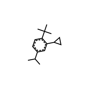 C[C](C)c1ccc(C(C)(C)C)c(C2CC2)c1